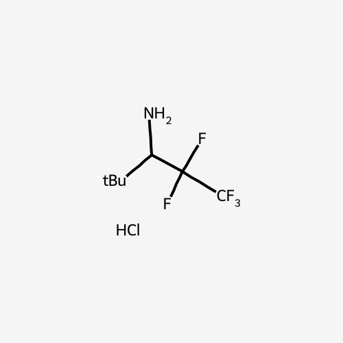 CC(C)(C)C(N)C(F)(F)C(F)(F)F.Cl